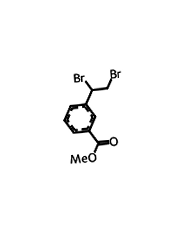 COC(=O)c1cccc(C(Br)CBr)c1